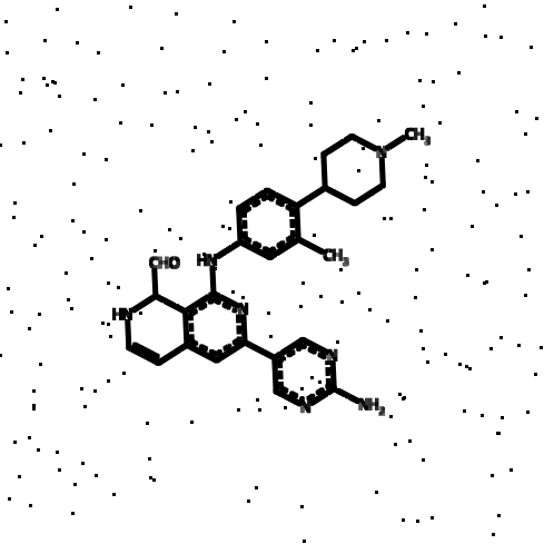 Cc1cc(Nc2nc(-c3cnc(N)nc3)cc3c2C(C=O)NC=C3)ccc1C1CCN(C)CC1